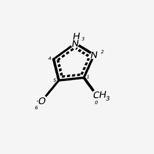 Cc1n[nH]cc1[O]